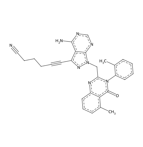 Cc1ccccc1-n1c(Cn2nc(C#CCCCC#N)c3c(N)ncnc32)nc2cccc(C)c2c1=O